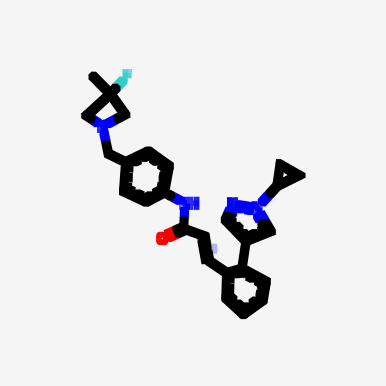 CC1(F)CN(Cc2ccc(NC(=O)/C=C/c3ccccc3-c3cnn(C4CC4)c3)cc2)C1